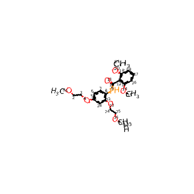 COCCOc1ccc(PC(=O)c2c(OC)cccc2OC)c(OCCOC)c1.[LiH]